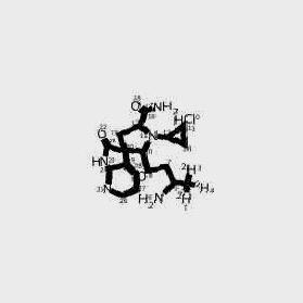 Cl.[2H]C([2H])([2H])C(N)CC(=O)C1N(C2CC2)C(C(N)=O)CC12C(=O)Nc1ncccc12